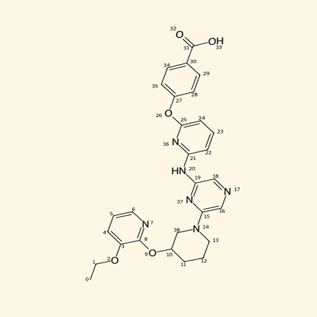 CCOc1cccnc1OC1CCCN(c2cncc(Nc3cccc(Oc4ccc(C(=O)O)cc4)n3)n2)C1